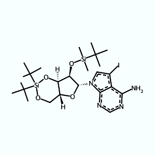 CC(C)(C)[Si](C)(C)O[C@@H]1[C@@H]2O[Si](C(C)(C)C)(C(C)(C)C)OC[C@H]2O[C@H]1n1cc(I)c2c(N)ncnc21